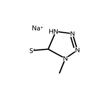 CN1N=NNC1[S-].[Na+]